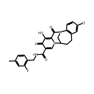 Cc1ccc(CNC(=O)c2cn3c(c(O)c2=O)C(=O)N2CC3CCc3cc(Cl)ccc32)c(F)c1